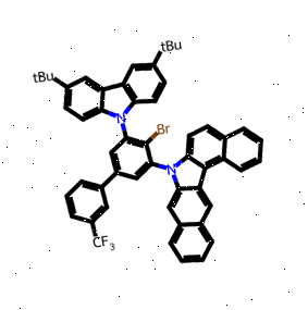 CC(C)(C)c1ccc2c(c1)c1cc(C(C)(C)C)ccc1n2-c1cc(-c2cccc(C(F)(F)F)c2)cc(-n2c3cc4ccccc4cc3c3c4ccccc4ccc32)c1Br